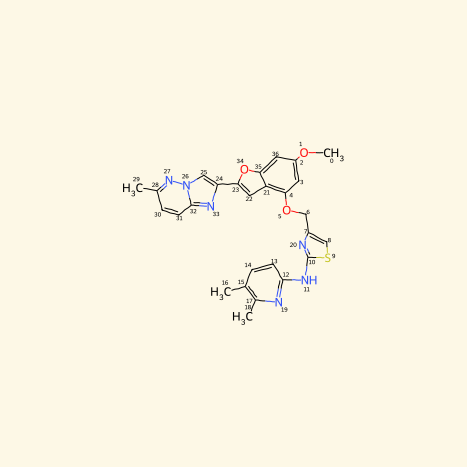 COc1cc(OCc2csc(Nc3ccc(C)c(C)n3)n2)c2cc(-c3cn4nc(C)ccc4n3)oc2c1